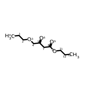 CCCOCC(=O)CC(=O)OCCC